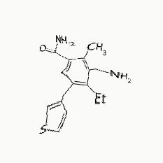 CCc1c(-c2ccsc2)cc(C(N)=O)c(C)c1N